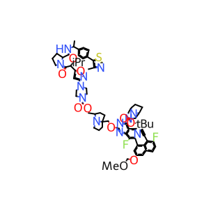 C#Cc1c(F)ccc2cc(OCOC)cc(-c3ncc4c(N5CC6CCC(C5)N6C(=O)OC(C)(C)C)nc(OCC56CCCN5C(COC(=O)N5CCN(c7cc(C(C(=O)N8CCCC8C(=O)NC(C)c8ccc(-c9scnc9C)cc8)C(C)C)on7)CC5)CC6)nc4c3F)c12